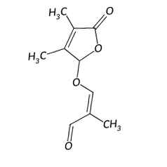 CC(C=O)=COC1OC(=O)C(C)=C1C